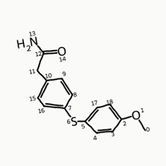 COc1ccc(Sc2ccc(CC(N)=O)cc2)cc1